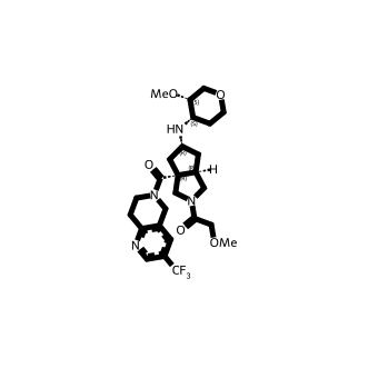 COCC(=O)N1C[C@@H]2C[C@@H](N[C@H]3CCOC[C@H]3OC)C[C@]2(C(=O)N2CCc3ncc(C(F)(F)F)cc3C2)C1